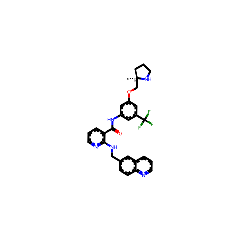 C[C@]1(COc2cc(NC(=O)c3cccnc3NCc3ccc4ncccc4c3)cc(C(F)(F)F)c2)CCCN1